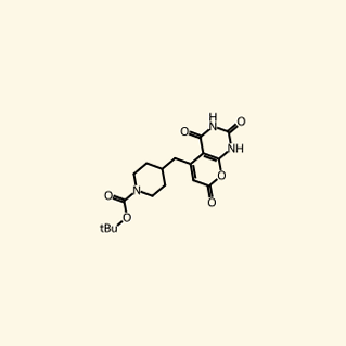 CC(C)(C)OC(=O)N1CCC(Cc2cc(=O)oc3[nH]c(=O)[nH]c(=O)c23)CC1